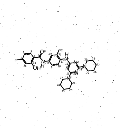 Cc1ccc(C(=O)Nc2ccc(Nc3nc(N4CCCCC4)nc(N4CCCCC4)n3)c(C)c2)c(O)c1